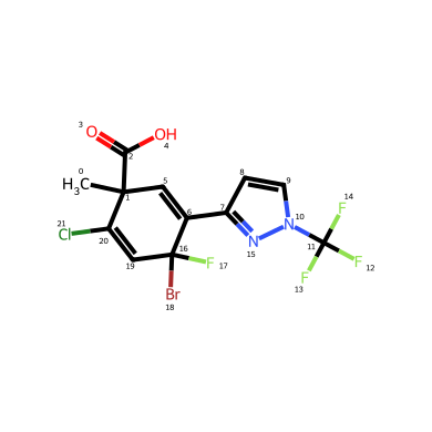 CC1(C(=O)O)C=C(c2ccn(C(F)(F)F)n2)C(F)(Br)C=C1Cl